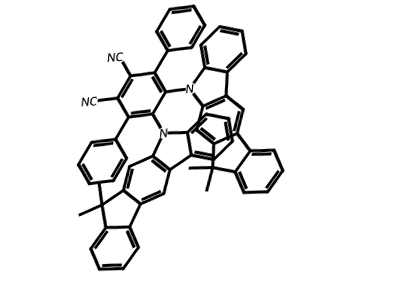 CC1(C)c2ccccc2-c2cc3c4ccccc4n(-c4c(-c5ccccc5)c(C#N)c(C#N)c(-c5ccccc5)c4-n4c5ccccc5c5cc6c(cc54)C(C)(C)c4ccccc4-6)c3cc21